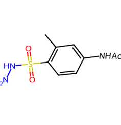 CC(=O)Nc1ccc(S(=O)(=O)NN)c(C)c1